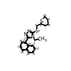 CCn1c(SCC2CCCCC2)nnc1-c1cccc2ccccc12